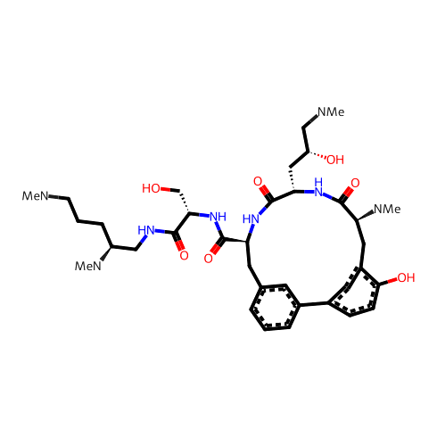 CNCCC[C@@H](CNC(=O)[C@H](CO)NC(=O)[C@@H]1Cc2cccc(c2)-c2ccc(O)c(c2)C[C@H](NC)C(=O)N[C@@H](C[C@@H](O)CNC)C(=O)N1)NC